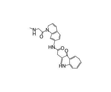 CNCC(=O)N1CC=Cc2ccc(NC(=O)Cc3c[nH]c4c(c3=O)=CCC=CC=4)cc21